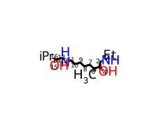 CCNCC(O)C(C)CCCCCNCC(O)C(C)C